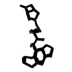 CN1CC2CN(SNC(=O)Nc3c4c(cc5c3CCC5)CCC4)CC21